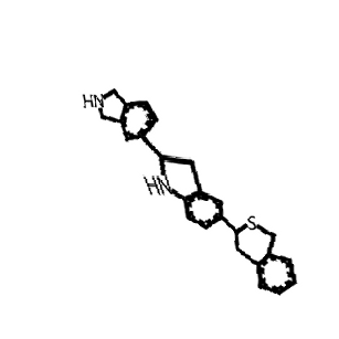 c1ccc2c(c1)CSC(c1ccc3c(c1)CC(c1ccc4c(c1)CNC4)N3)C2